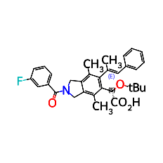 C/C(=C\c1ccccc1)c1c(C)c2c(c(C)c1[C@H](OC(C)(C)C)C(=O)O)CN(C(=O)c1cccc(F)c1)C2